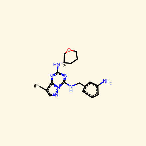 CC(C)c1cnn2c(NCc3cccc(N)c3)nc(N[C@H]3CCCOC3)nc12